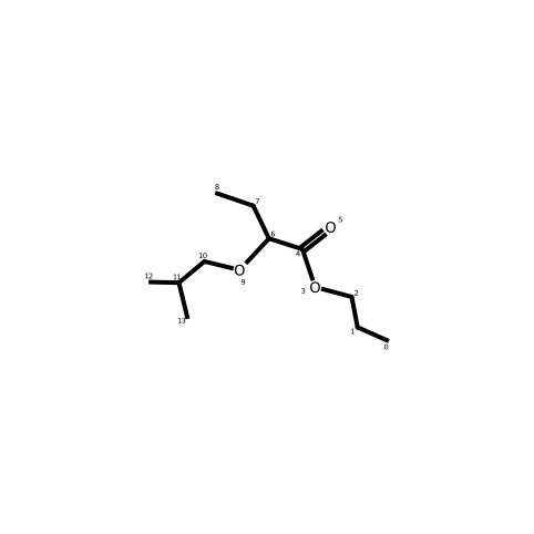 CCCOC(=O)C(CC)OCC(C)C